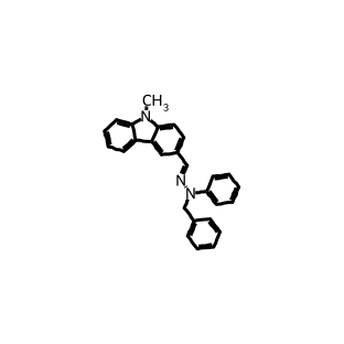 Cn1c2ccccc2c2cc(C=NN(Cc3ccccc3)c3ccccc3)ccc21